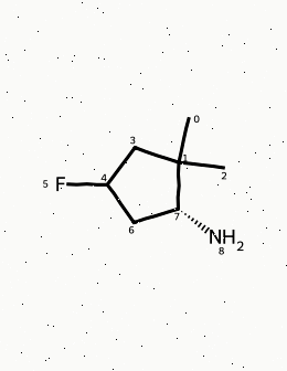 CC1(C)CC(F)C[C@H]1N